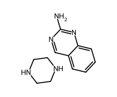 C1CNCCN1.Nc1ncc2ccccc2n1